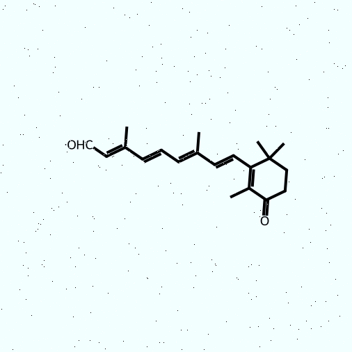 CC1=C(/C=C/C(C)=C/C=C/C(C)=C/[C]=O)C(C)(C)CCC1=O